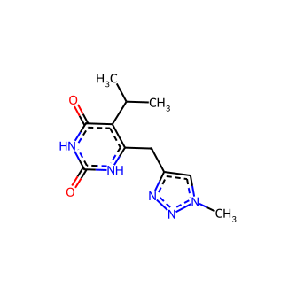 CC(C)c1c(Cc2cn(C)nn2)[nH]c(=O)[nH]c1=O